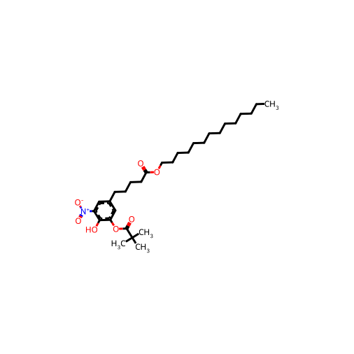 CCCCCCCCCCCCCCOC(=O)CCCCc1cc(OC(=O)C(C)(C)C)c(O)c([N+](=O)[O-])c1